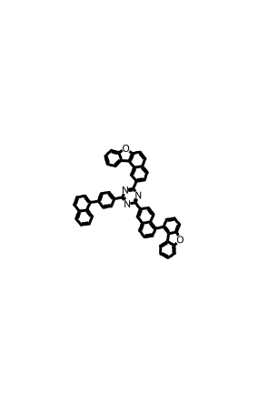 c1ccc2c(-c3ccc(-c4nc(-c5ccc6c(-c7cccc8oc9ccccc9c78)cccc6c5)nc(-c5ccc6ccc7oc8ccccc8c7c6c5)n4)cc3)cccc2c1